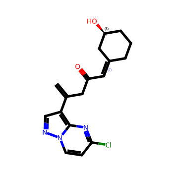 C=C(CC(=O)/C=C1/CCC[C@H](O)C1)c1cnn2ccc(Cl)nc12